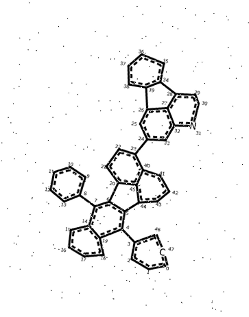 c1ccc(-c2c3c(c(-c4ccccc4)c4ccccc24)-c2ccc(-c4cc5c6c(ccnc6c4)-c4ccccc4-5)c4cccc-3c24)cc1